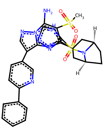 CS(=O)(=O)c1c([C@H]2C[C@H]3CC[C@@H](C2)N3S(=O)(=O)c2nnc[nH]2)nc2c(-c3ccc(-c4ccccc4)nc3)cnn2c1N